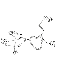 CC1(C)OB(c2ccc(C(F)(F)F)c(C=CC(=O)O)c2)OC1(C)C